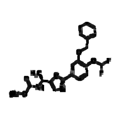 C[C@H](NC(=O)OC(C)(C)C)c1cnc(-c2ccc(OC(F)F)c(OCc3ccccc3)c2)o1